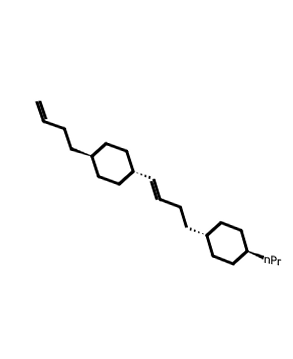 C=CCC[C@H]1CC[C@H](C=CCC[C@H]2CC[C@H](CCC)CC2)CC1